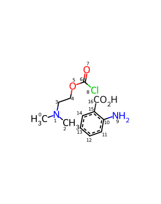 CN(C)CCOC(=O)Cl.Nc1ccccc1C(=O)O